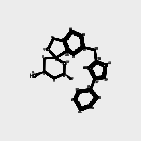 C[C@@H]1C[C@H](O)C[C@@]2(OCc3ccc(Cc4ncc(-c5ccccc5)s4)cc32)O1